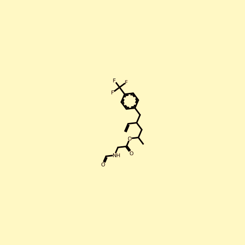 C=CC(Cc1ccc(C(F)(F)F)cc1)CC(C)OC(=O)CNC=O